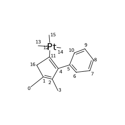 CC1=C(C)C(c2ccccc2)=[C]([Pt]([CH3])([CH3])[CH3])C1